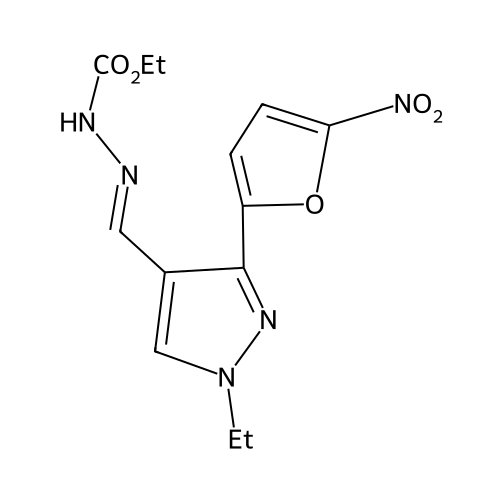 CCOC(=O)NN=Cc1cn(CC)nc1-c1ccc([N+](=O)[O-])o1